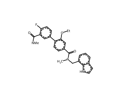 CCOc1cc(C(=O)N(C)Cc2cccc3cc[nH]c23)ccc1-c1ccc(F)c(C(=O)NC)c1